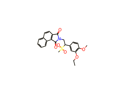 CCOc1cc(C(CN2C(=O)c3ccc4ccccc4c3C2=O)S(C)(=O)=O)ccc1OC